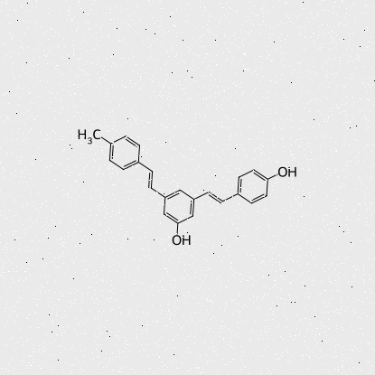 Cc1ccc(/C=C/c2cc(O)cc(/C=C/c3ccc(O)cc3)c2)cc1